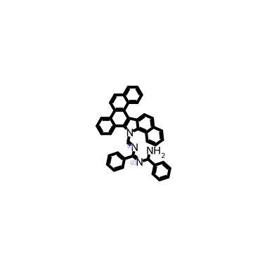 NC(/N=C(\N=C\n1c2c3ccccc3ccc2c2c3c4ccccc4ccc3c3ccccc3c21)c1ccccc1)c1ccccc1